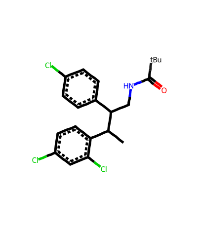 CC(c1ccc(Cl)cc1Cl)C(CNC(=O)C(C)(C)C)c1ccc(Cl)cc1